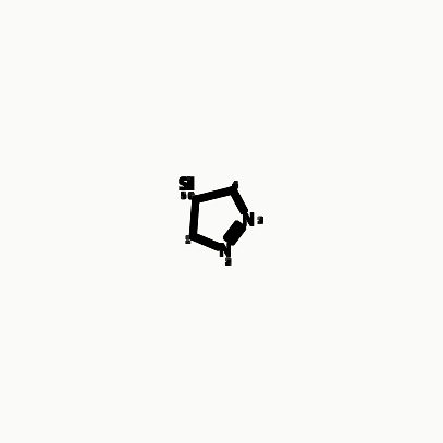 C1CN=NC1.[Si]